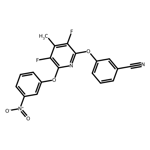 Cc1c(F)c(Oc2cccc(C#N)c2)nc(Oc2cccc([N+](=O)[O-])c2)c1F